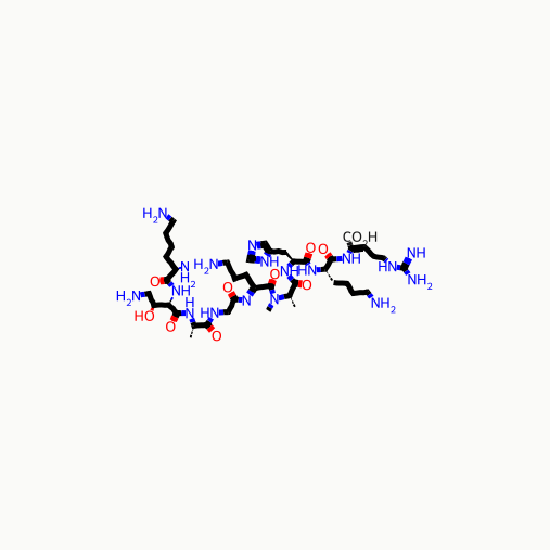 C[C@H](NC(=O)[C@@H](NC(=O)[C@@H](N)CCCCN)[C@@H](O)CN)C(=O)NCC(=O)/N=C(\CCCN)C(=O)N(C)[C@@H](C)C(=O)N[C@@H](Cc1cnc[nH]1)C(=O)N[C@@H](CCCCN)C(=O)N/C(=C\CCNC(=N)N)C(=O)O